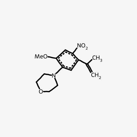 C=C(C)c1cc(N2CCOCC2)c(OC)cc1[N+](=O)[O-]